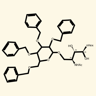 CCCCCC[C@@H](O)[C@@H](O)[C@H](COC1OC(COCc2ccccc2)C(OCc2ccccc2)C(OCc2ccccc2)C1OCc1ccccc1)NC(C)=O